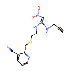 C#CCN/C(=C/[N+](=O)[O-])NCCSCc1ncccc1C#N